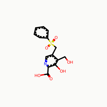 O=C(O)c1ncc(CS(=O)(=O)c2ccccc2)c(CO)c1O